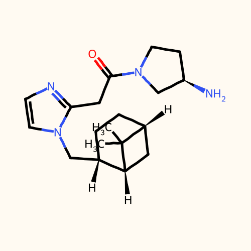 CC1(C)[C@@H]2CC[C@@H](Cn3ccnc3CC(=O)N3CC[C@@H](N)C3)[C@H]1C2